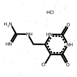 Cl.N=C(N)NCc1[nH]c(=O)[nH]c(=O)c1Cl